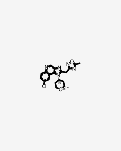 Cc1nc(Cc2nc3cnc4ccc(Cl)cc4c3n2[C@H]2CCO[C@@H](C)C2)no1